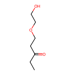 CCC(=O)CCOCCO